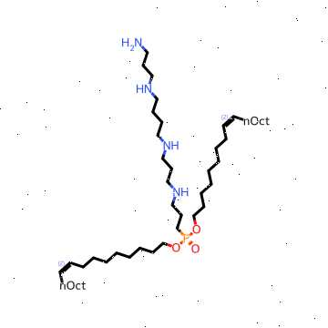 CCCCCCCC/C=C\CCCCCCCCOP(=O)(CCCNCCCNCCCCNCCCN)OCCCCCCCC/C=C\CCCCCCCC